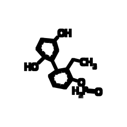 CCc1c(O[PH2]=O)cccc1-c1cc(O)ccc1O